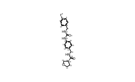 O=C(NCc1ccc(F)cc1)Nc1ccc(CNC(=O)[C@H]2CCOC2)cc1